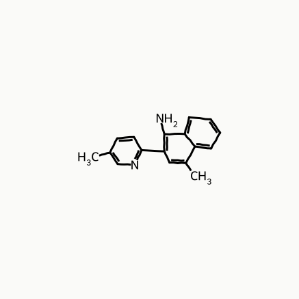 Cc1ccc(-c2cc(C)c3ccccc3c2N)nc1